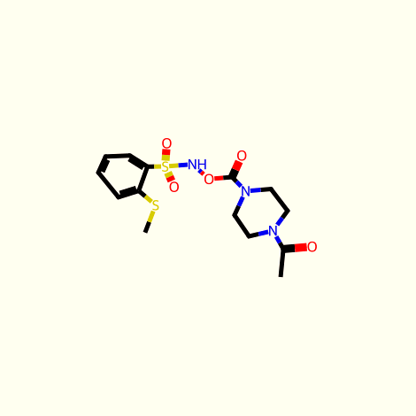 CSc1ccccc1S(=O)(=O)NOC(=O)N1CCN(C(C)=O)CC1